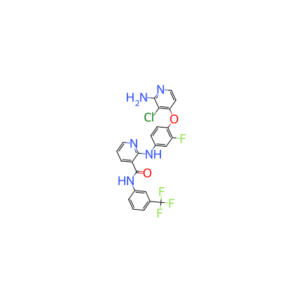 Nc1nccc(Oc2ccc(Nc3ncccc3C(=O)Nc3cccc(C(F)(F)F)c3)cc2F)c1Cl